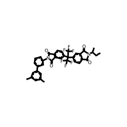 CCC(C)N1C(=O)c2ccc(C(c3ccc4c(c3)C(=O)N(c3cccc(-c5cc(C)cc(C)c5)c3)C4=O)(C(F)(F)F)C(F)(F)F)cc2C1=O